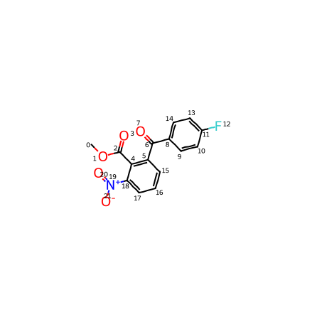 COC(=O)c1c(C(=O)c2ccc(F)cc2)cccc1[N+](=O)[O-]